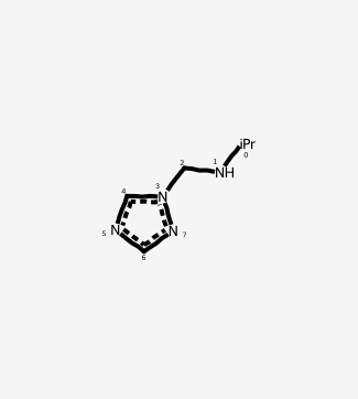 CC(C)NCn1cncn1